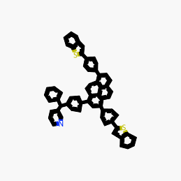 c1ccc(C(c2ccc(-c3cc(-c4ccc(-c5cc6ccccc6s5)cc4)c4ccc5ccc(-c6ccc(-c7cc8ccccc8s7)cc6)c6ccc3c4c56)cc2)c2cccnc2)cc1